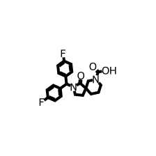 O=C(O)N1CCCC2(CCN(C(c3ccc(F)cc3)c3ccc(F)cc3)C2=O)C1